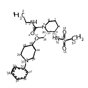 CCNC(=O)N1CCC[C@H](NS(C)(=O)=O)[C@@H]1COC1CCN(c2ccccc2)CC1